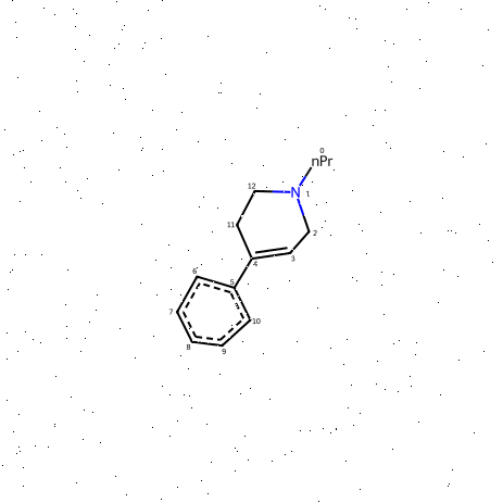 CCCN1CC=C(c2ccccc2)CC1